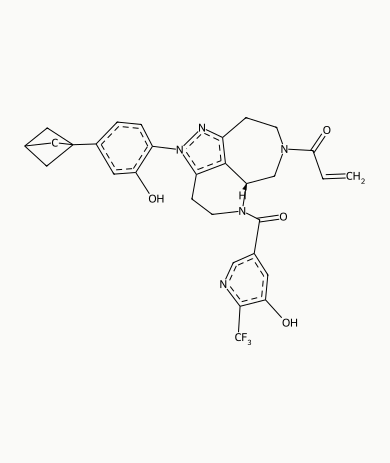 C=CC(=O)N1CCc2nn(-c3ccc(C45CC(C4)C5)cc3O)c3c2[C@H](C1)N(C(=O)c1cnc(C(F)(F)F)c(O)c1)CC3